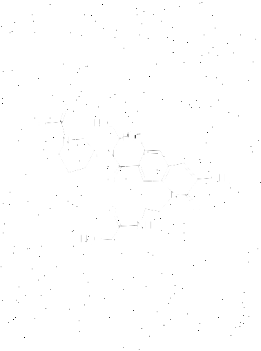 CCC(=O)NCCn1c(=O)c(C)cc2cc(C)c(C(=O)N(C(C)C)[C@@H]3CCCN(C(=O)O)C3)cc21